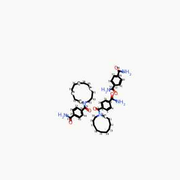 NC(=O)c1ccc(C(=O)N2CCCCCCCCCC2)cc1.NC(=O)c1ccc(C(=O)N2CCCCCCCCCCCC2)cc1.NC(=O)c1ccc(C(N)=O)cc1